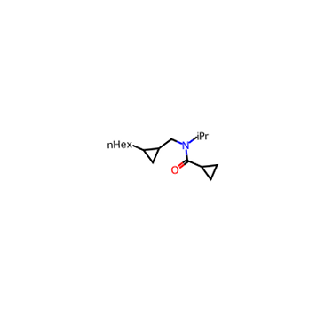 CCCCCCC1CC1CN(C(=O)C1CC1)C(C)C